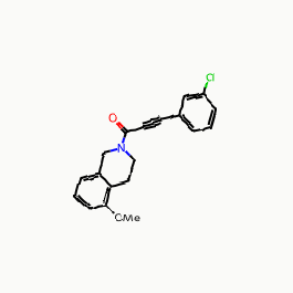 COc1cccc2c1CCN(C(=O)C#Cc1cccc(Cl)c1)C2